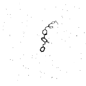 CCC(=O)CC1CC=C(c2ccc(CCc3ccccc3)c(F)c2)CC1